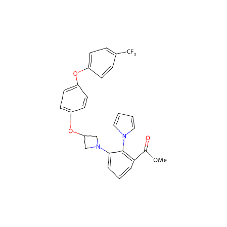 COC(=O)c1cccc(N2CC(Oc3ccc(Oc4ccc(C(F)(F)F)cc4)cc3)C2)c1-n1cccc1